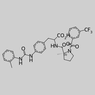 Cc1ccccc1NC(=O)Nc1ccc(CC(NC(=O)[C@]2(C)CCCN2S(=O)(=O)c2cccc(C(F)(F)F)c2)C(=O)O)cc1